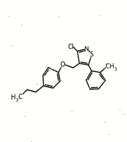 CCCc1ccc(OCc2c(Cl)nsc2-c2ccccc2C)cc1